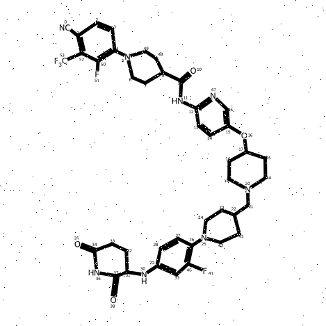 N#Cc1ccc(N2CCC(C(=O)Nc3ccc(OC4CCN(CC5CCN(c6ccc(NC7CCC(=O)NC7=O)cc6F)CC5)CC4)cn3)CC2)c(F)c1C(F)(F)F